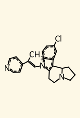 C/C(=C\n1c2c(c3cc(Cl)ccc31)C1CCCN1CC2)c1ccncc1